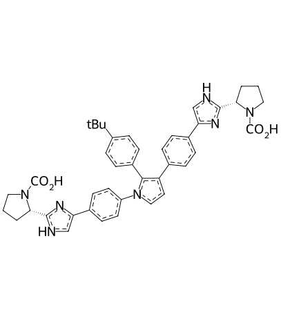 CC(C)(C)c1ccc(-c2c(-c3ccc(-c4c[nH]c([C@@H]5CCCN5C(=O)O)n4)cc3)ccn2-c2ccc(-c3c[nH]c([C@@H]4CCCN4C(=O)O)n3)cc2)cc1